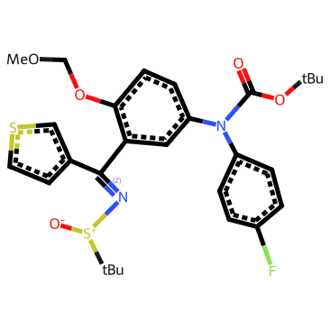 COCOc1ccc(N(C(=O)OC(C)(C)C)c2ccc(F)cc2)cc1/C(=N/[S+]([O-])C(C)(C)C)c1ccsc1